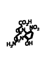 NCCCCCC(=O)O.O=[N+]([O-])c1ccc(O)c([N+](=O)[O-])c1[N+](=O)[O-]